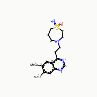 COc1cc2ncnc(CCN3CCCS(=N)(=O)CC3)c2cc1OC